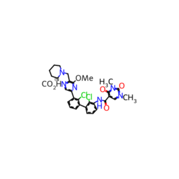 COc1nc(-c2cccc(-c3cccc(NC(=O)c4cn(C)c(=O)n(C)c4=O)c3Cl)c2Cl)cnc1CN1CCCC[C@H]1C(=O)O